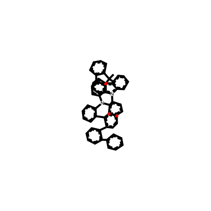 CC1(C)c2ccccc2-c2ccc(N(c3ccccc3-c3ccccc3-c3ccccc3-c3ccccc3)c3ccccc3-n3c4ccccc4c4ccccc43)cc21